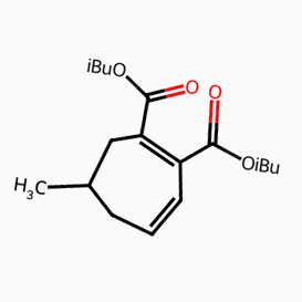 CC(C)COC(=O)C1=C(C(=O)OCC(C)C)CC(C)CC=C1